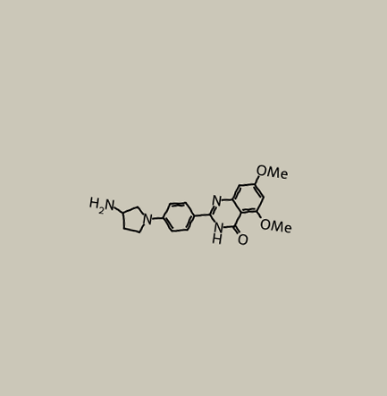 COc1cc(OC)c2c(=O)[nH]c(-c3ccc(N4CCC(N)C4)cc3)nc2c1